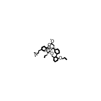 C=CCOc1cccc(C)c1-c1cccc([C@H](CC(=O)OC)NC(=O)[C@H](CC=C)n2cc(CCN(C)C)ccc2=O)c1